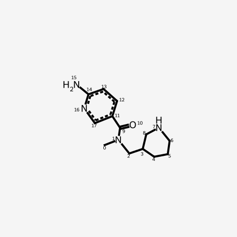 CN(CC1CCCNC1)C(=O)c1ccc(N)nc1